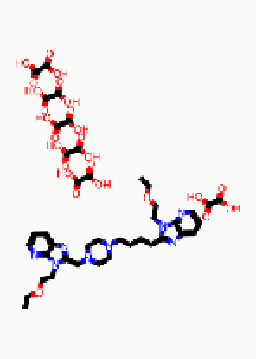 CCOCCn1c(CCCCN2CCN(Cc3nc4cccnc4n3CCOCC)CC2)nc2cccnc21.O=C(O)C(=O)O.O=C(O)C(=O)O.O=C(O)C(=O)O.O=C(O)C(=O)O.O=C(O)C(=O)O.O=C(O)C(=O)O